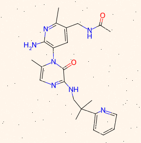 CC(=O)NCc1cc(-n2c(C)cnc(NCC(C)(C)c3ccccn3)c2=O)c(N)nc1C